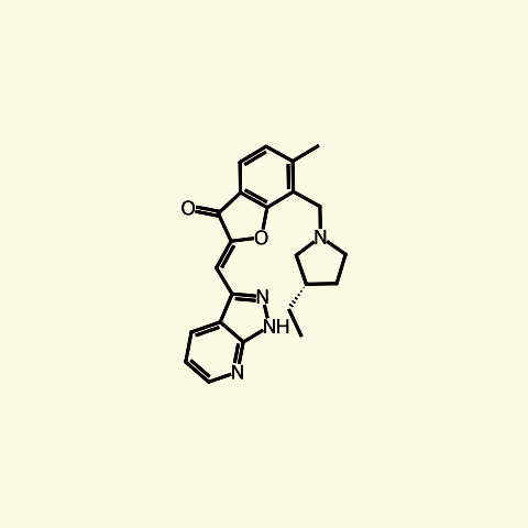 CC[C@H]1CCN(Cc2c(C)ccc3c2O/C(=C\c2n[nH]c4ncccc24)C3=O)C1